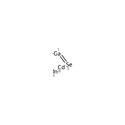 [Cd].[Ga]=[Se].[In]